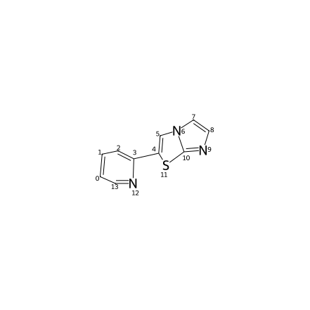 c1ccc(-c2cn3ccnc3s2)nc1